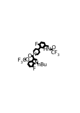 CCCCn1cc(C(=O)N2CCC(c3cc(CNC(=O)C(F)(F)F)ccc3F)CC2)c2c(OC(F)(F)F)ccc(F)c21